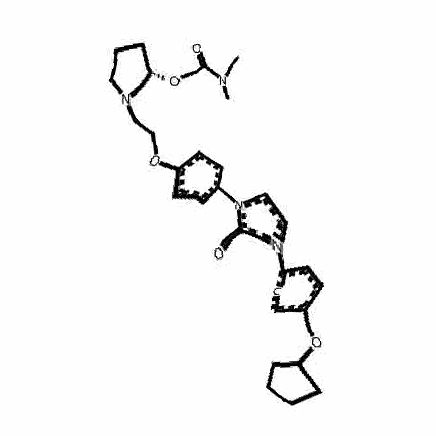 CN(C)C(=O)O[C@H]1CCCN1CCOc1ccc(-n2ccn(-c3ccc(OC4CCCC4)cc3)c2=O)cc1